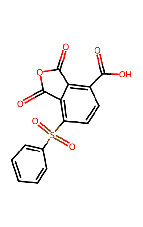 O=C(O)c1ccc(S(=O)(=O)c2ccccc2)c2c1C(=O)OC2=O